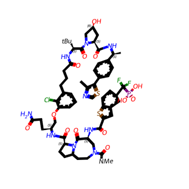 CNC(=O)N1CCC2CC[C@@H](C(=O)N[C@@H](CCC(N)=O)COc3cccc(CCCC(=O)N[C@H](C(=O)N4C[C@H](O)C[C@H]4C(=O)N[C@@H](C)c4ccc(-c5scnc5C)cc4)C(C)(C)C)c3Cl)N2C(=O)[C@@H](NC(=O)c2cc3cc(C(F)(F)P(=O)(O)O)ccc3s2)C1